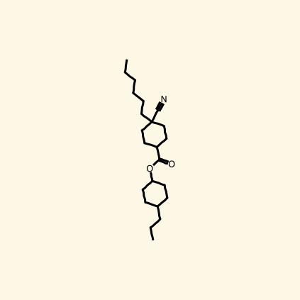 CCCCCCC1(C#N)CCC(C(=O)OC2CCC(CCC)CC2)CC1